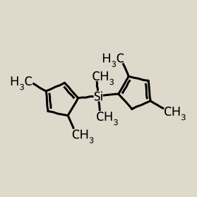 CC1=CC(C)C([Si](C)(C)C2=C(C)C=C(C)C2)=C1